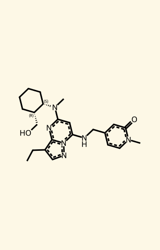 CCc1cnn2c(NCc3ccn(C)c(=O)c3)cc(N(C)[C@H]3CCCC[C@H]3CO)nc12